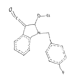 CCOC1C(=C=O)c2ccccc2N1Cc1ccc(F)cc1